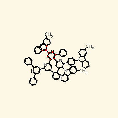 Cc1ccc2c(c1)c1ccccc1n2-c1ccc(-c2cc(-c3ccccc3-c3cc(-c4cc(-c5ccccc5)nc(-c5ccccc5)c4)nc(-c4cc(-c5ccccc5)nc(-c5ccccc5)c4)c3)c(-n3c4ccccc4c4cc(C)ccc43)c(-c3ccc(-n4c5ccccc5c5cc(C)ccc54)cc3)n2)cc1